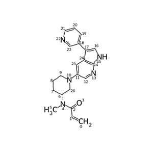 C=CC(=O)N(C)[C@@H]1CCCN(c2cnc3[nH]cc(-c4cccnc4)c3c2)C1